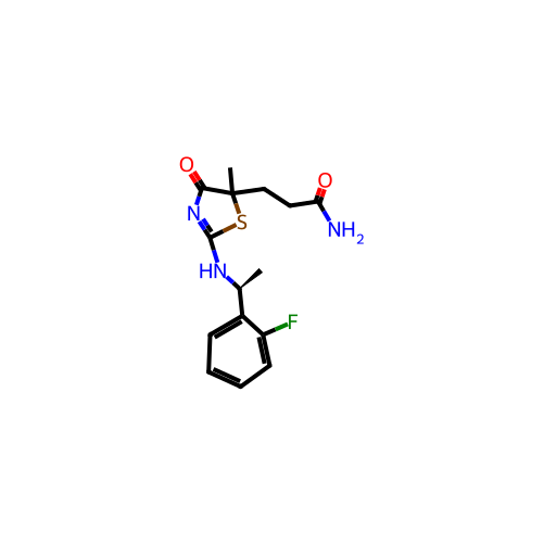 C[C@H](NC1=NC(=O)C(C)(CCC(N)=O)S1)c1ccccc1F